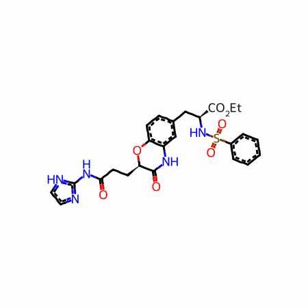 CCOC(=O)[C@H](Cc1ccc2c(c1)NC(=O)[C@@H](CCC(=O)Nc1ncc[nH]1)O2)NS(=O)(=O)c1ccccc1